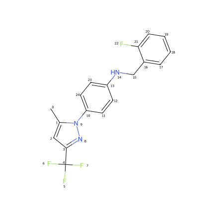 Cc1cc(C(F)(F)F)nn1-c1ccc(NCc2ccccc2F)cc1